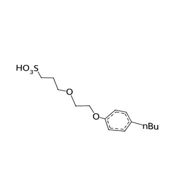 CCCCc1ccc(OCCOCCCS(=O)(=O)O)cc1